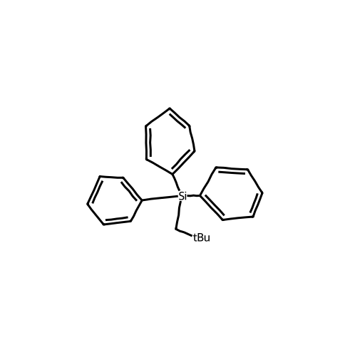 CC(C)(C)C[Si](c1ccccc1)(c1ccccc1)c1ccccc1